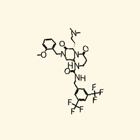 COc1ccccc1CN1C[C@@H]2N(C(=O)NCc3cc(C(F)(F)F)cc(C(F)(F)F)c3)CCC(=O)N2[C@@H](CCN(C)C)C1=O